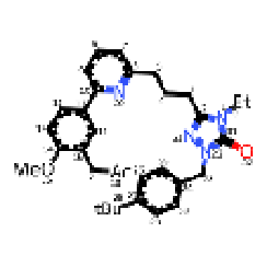 CCn1c(CCCc2cccc(-c3ccc(OC)c(CC(C)=O)c3)n2)nn(Cc2ccc(C(C)(C)C)cc2)c1=O